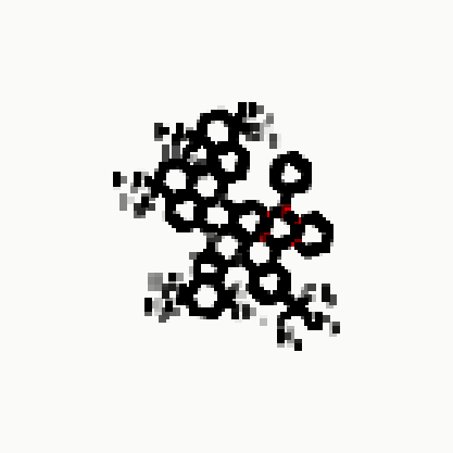 CC(C)(C)c1ccc(N2c3cc(N(c4ccccc4)c4ccccc4)cc4c3B(c3ccc5c6c3N4c3ccc4c(c3C6(C)CCC5(C)C)C(C)(C)CCC4(C)C)c3sc4c(c32)C(C)(C)CCC4(C)C)c(-c2ccccc2)c1